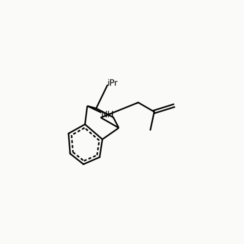 C=C(C)CC1NC2c3ccccc3C1CC2C(C)C